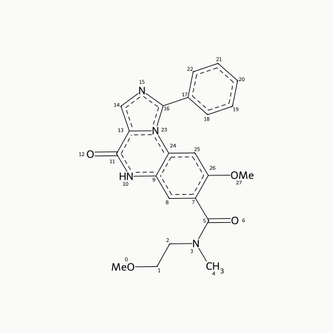 COCCN(C)C(=O)c1cc2[nH]c(=O)c3cnc(-c4ccccc4)n3c2cc1OC